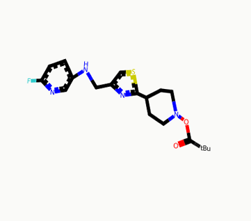 CC(C)(C)C(=O)ON1CCC(c2nc(CNc3ccc(F)nc3)cs2)CC1